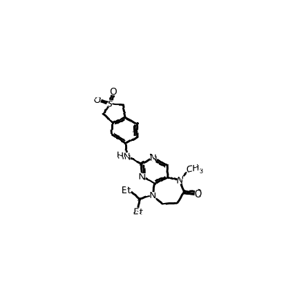 CCC(CC)N1CCC(=O)N(C)c2cnc(Nc3ccc4c(c3)CS(=O)(=O)C4)nc21